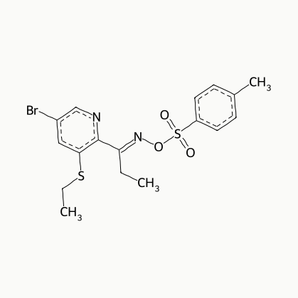 CCSc1cc(Br)cnc1C(CC)=NOS(=O)(=O)c1ccc(C)cc1